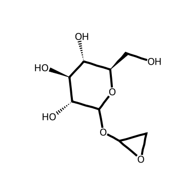 OC[C@H]1OC(OC2CO2)[C@H](O)[C@@H](O)[C@@H]1O